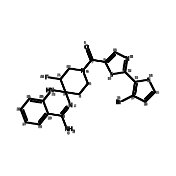 NC1=NC2(CCN(C(=O)c3cnc(-c4sccc4Br)s3)CC2F)Nc2ccccc21